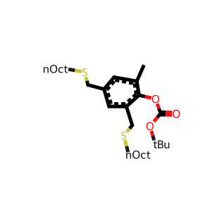 CCCCCCCCSCc1cc(C)c(OC(=O)OC(C)(C)C)c(CSCCCCCCCC)c1